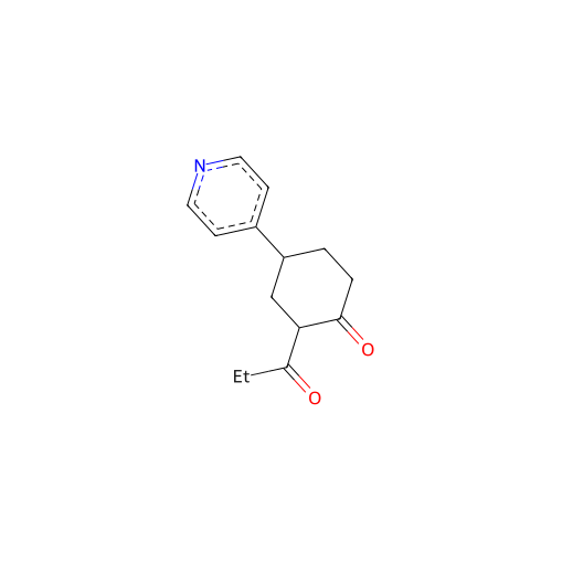 CCC(=O)C1CC(c2ccncc2)CCC1=O